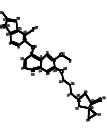 COc1cc2c(Oc3ccc4[nH]c(C)cc4c3F)ccnc2cc1OCCCN1CC(=O)C2(CC2)C1